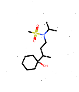 CC(C)N(CCC(C)C1(O)CCCCC1)S(C)(=O)=O